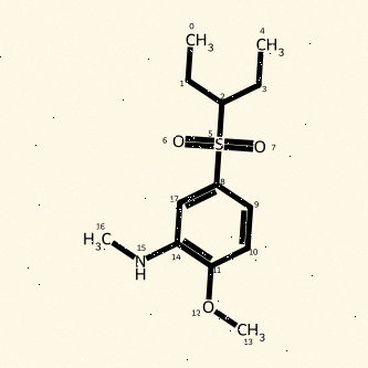 CCC(CC)S(=O)(=O)c1ccc(OC)c(NC)c1